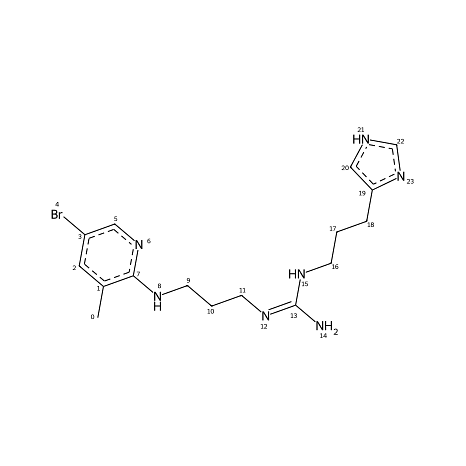 Cc1cc(Br)cnc1NCCCN=C(N)NCCCc1c[nH]cn1